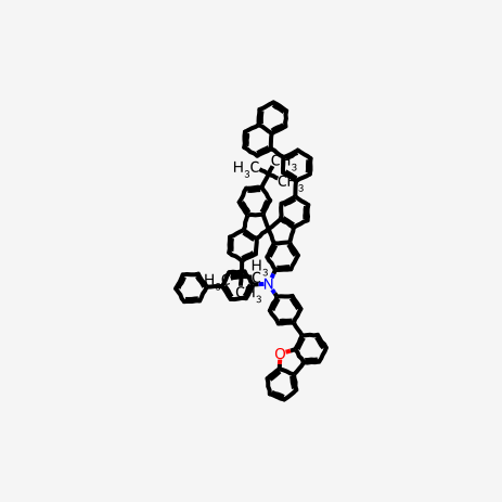 CC(C)(C)c1ccc2c(c1)C1(c3cc(-c4cccc(-c5cccc6ccccc56)c4)ccc3-c3ccc(N(c4ccc(-c5ccccc5)cc4)c4ccc(-c5cccc6c5oc5ccccc56)cc4)cc31)c1cc(C(C)(C)C)ccc1-2